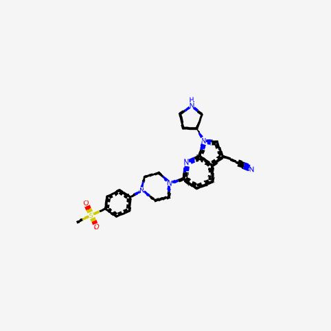 CS(=O)(=O)c1ccc(N2CCN(c3ccc4c(C#N)cn([C@H]5CCNC5)c4n3)CC2)cc1